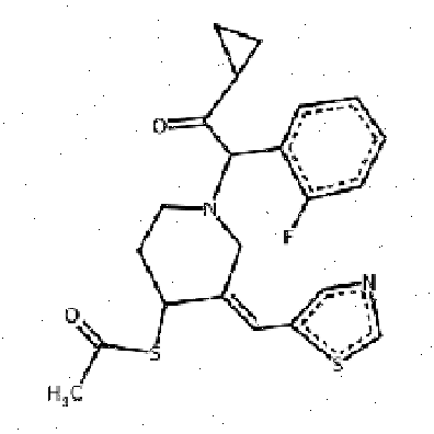 CC(=O)SC1CCN(C(C(=O)C2CC2)c2ccccc2F)C/C1=C\c1cncs1